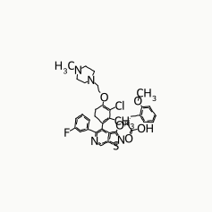 COc1ccccc1C[C@@H](Oc1nsc2cnc(-c3cccc(F)c3)c(C3=C(C)C(Cl)=C(OCCN4CCN(C)CC4)CC3)c12)C(=O)O